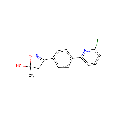 OC1(C(F)(F)F)CC(c2ccc(-c3cccc(F)n3)cc2)=NO1